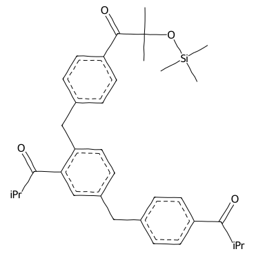 CC(C)C(=O)c1ccc(Cc2ccc(Cc3ccc(C(=O)C(C)(C)O[Si](C)(C)C)cc3)c(C(=O)C(C)C)c2)cc1